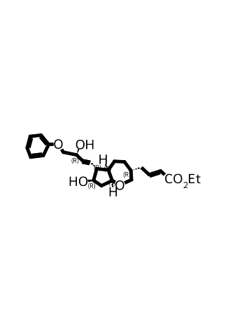 CCOC(=O)C=CC[C@H]1CC[C@@H]2[C@@H](C=C[C@@H](O)COc3ccccc3)[C@H](O)C[C@@H]2OC1